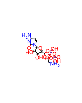 NCCOC(OP(=O)(O)OP(=O)(O)O)[C@H]1O[C@@H](n2ccc(N)nc2=O)[C@H](O)[C@@H]1O